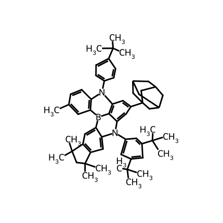 Cc1ccc2c(c1)B1c3cc4c(cc3N(c3cc(C(C)(C)C)cc(C(C)(C)C)c3)c3cc(C56CC7CC(CC(C7)C5)C6)cc(c31)N2c1ccc(C(C)(C)C)cc1)C(C)(C)CC4(C)C